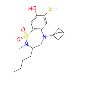 CCCCC1CN(C23CC(C2)C3)c2cc(SC)c(O)cc2S(=O)(=O)N1C